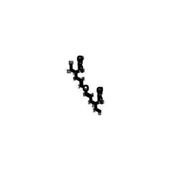 CCC(CC=COC=CCC(CC)N=C=O)N=C=O